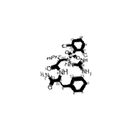 CCC[C@@H](C(=O)N[C@@H](Cc1ccccc1)C(N)=O)N(NC(=N)N)S(=O)(=O)c1c(Cl)cccc1Cl